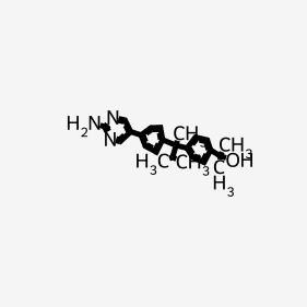 CC(C)C(C)(c1ccc(-c2cnc(N)nc2)cc1)c1ccc(C(C)(C)O)cc1